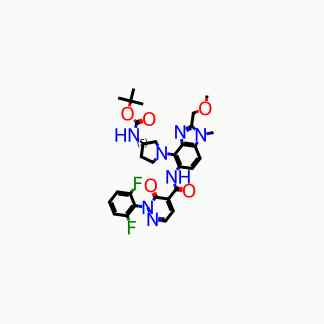 COCc1nc2c(N3CC[C@H](NC(=O)OC(C)(C)C)C3)c(NC(=O)c3ccnn(-c4c(F)cccc4F)c3=O)ccc2n1C